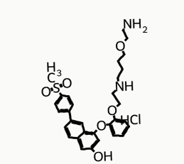 CS(=O)(=O)c1ccc(-c2ccc3cc(O)cc(Oc4ccccc4OCCNCCCCOCCN)c3c2)cc1.Cl